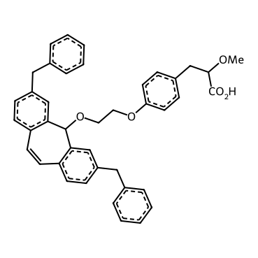 COC(Cc1ccc(OCCOC2c3cc(Cc4ccccc4)ccc3C=Cc3ccc(Cc4ccccc4)cc32)cc1)C(=O)O